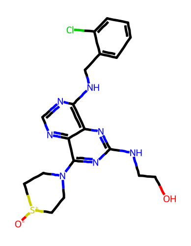 [O-][S+]1CCN(c2nc(NCCO)nc3c(NCc4ccccc4Cl)ncnc23)CC1